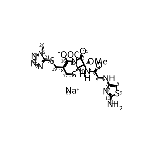 CO[C@@]1(NC(=O)CNc2csc(N)n2)C(=O)N2C(C(=O)[O-])=C(CSc3nnnn3C)CS[C@H]21.[Na+]